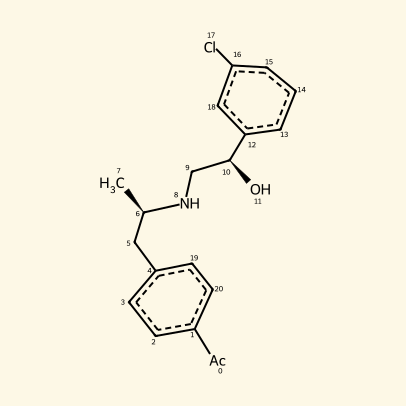 CC(=O)c1ccc(C[C@@H](C)NC[C@H](O)c2cccc(Cl)c2)cc1